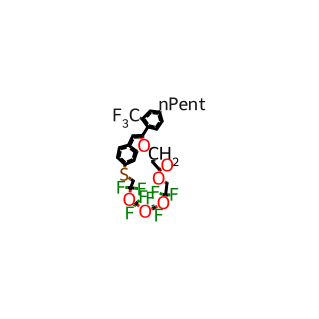 C=CC(=O)OCC(F)(F)OC(F)(F)OC(F)(F)OC(F)(F)CSc1ccc2cc(-c3ccc(CCCCC)cc3C(F)(F)F)oc2c1